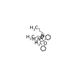 CCCCN(CCCC)c1ccccc1C(C)(Oc1ccccc1)C(N)=O